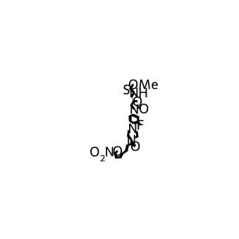 COC(=S)NC[C@H]1CN(c2ccc(N3CCN(C(=O)C=Cc4ccc([N+](=O)[O-])o4)CC3)c(F)c2)C(=O)O1